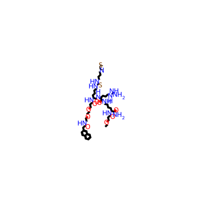 CCOCCC(=O)NC(CCCCNC(=O)C(CCCNC(=N)N)NC(=O)C(CCCCNC(=S)NCCCCN=C=S)NC(=O)CCOCCOCCNC(=O)Cc1ccc2ccccc2c1)C(N)=O